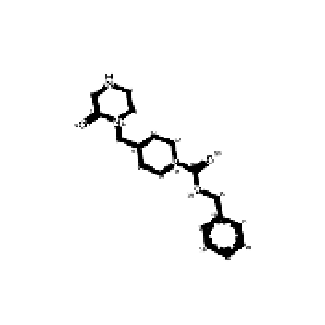 O=C1CNCCN1CC1CCN(C(=O)OCc2ccccc2)CC1